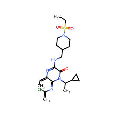 C=C(Cl)/N=C1\C(=C/C)N=C(NCC2CCN(S(=O)(=O)CC)CC2)C(=O)N1C(C)C1CC1